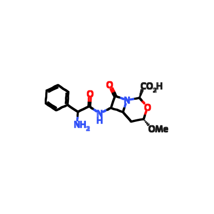 CO[C@@H]1CC2C(NC(=O)C(N)c3ccccc3)C(=O)N2[C@@H](C(=O)O)O1